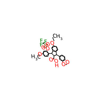 CCCOc1ccc2c(c1)C(c1ccc(OC)cc1OS(=O)(=O)C(F)(F)F)C(C(=O)O)C2c1ccc2c(c1)OCO2